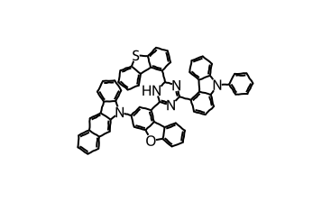 c1ccc(-n2c3ccccc3c3c(C4=NC(c5cccc6sc7ccccc7c56)NC(c5cc(-n6c7ccccc7c7cc8ccccc8cc76)cc6oc7ccccc7c56)=N4)cccc32)cc1